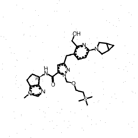 Cn1cnc2c1CC[C@H]2NC(=O)c1cc(Cc2ccc(N3CC4CC4C3)nc2CO)nn1COCCS(C)(C)C